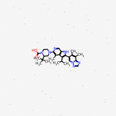 Cc1c(-c2[nH]c3cnc(N4CCN(C(=O)O)C(C(C)(C)C)C4)c(C)c3c2C(C)C)cn2ncnc2c1C